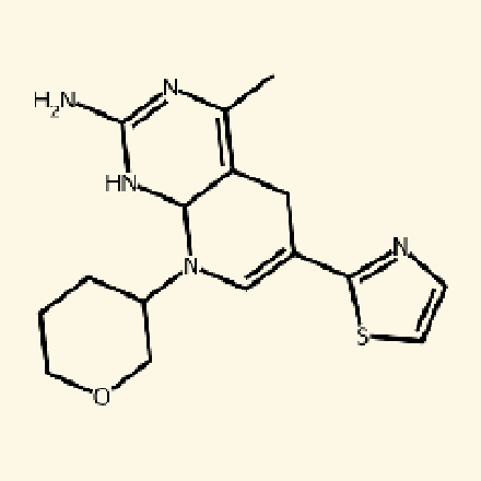 CC1=C2CC(c3nccs3)=CN(C3CCCOC3)C2NC(N)=N1